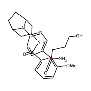 COc1cccc(C(=O)NC2CC3CCC(C2)N3c2ccc(C(N)=O)cn2)c1CCCO